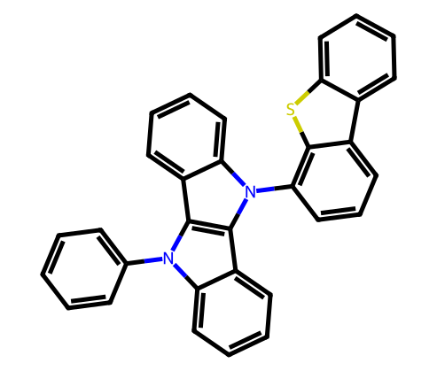 c1ccc(-n2c3ccccc3c3c2c2ccccc2n3-c2cccc3c2sc2ccccc23)cc1